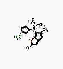 CC1=CC2=CC(C)SC2=[C]1[Zr+2]([CH]1C=CC=C1)=[Si](C)C.[Cl-].[Cl-]